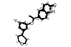 CC(Oc1cc(F)cc(C2CCOCC2)c1)c1ccc2[nH]c(=O)ccc2c1